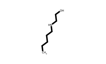 CCCCCNCCO